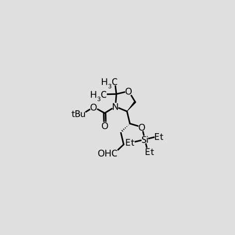 CC[Si](CC)(CC)O[C@H](CCC=O)[C@@H]1COC(C)(C)N1C(=O)OC(C)(C)C